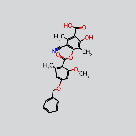 COc1cc(OCc2ccccc2)cc(C)c1C(=O)Oc1c(C)c(O)c(C(=O)O)c(C)c1C#N